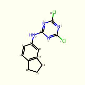 Clc1nc(Cl)nc(Nc2ccc3c(c2)CCC3)n1